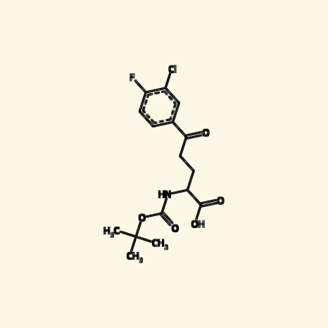 CC(C)(C)OC(=O)NC(CCC(=O)c1ccc(F)c(Cl)c1)C(=O)O